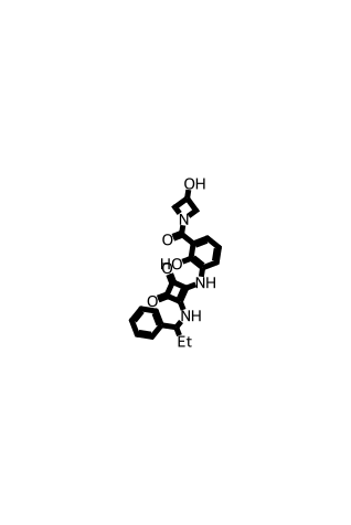 CCC(Nc1c(Nc2cccc(C(=O)N3CC(O)C3)c2O)c(=O)c1=O)c1ccccc1